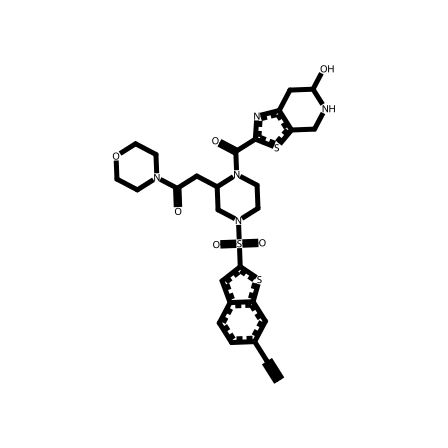 C#Cc1ccc2cc(S(=O)(=O)N3CCN(C(=O)c4nc5c(s4)CNC(O)C5)C(CC(=O)N4CCOCC4)C3)sc2c1